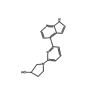 OC1CCN(c2cccc(-c3ccnc4[nH]ccc34)n2)C1